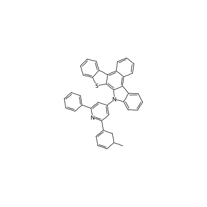 CC1C=CC=C(c2cc(-n3c4ccccc4c4c5ccccc5c5c6ccccc6sc5c43)cc(-c3ccccc3)n2)C1